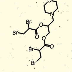 O=C(OCC(CN1CCOCC1)OC(=O)C(Br)CBr)C(Br)CBr